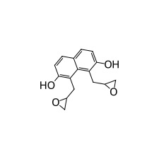 Oc1ccc2ccc(O)c(CC3CO3)c2c1CC1CO1